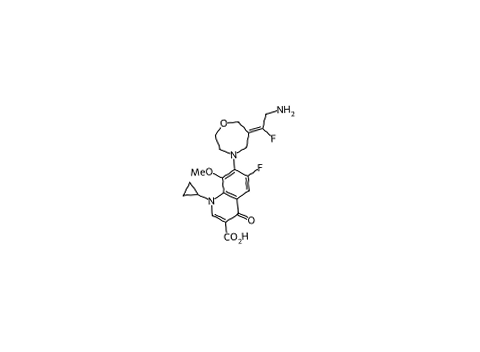 COc1c(N2CCOC/C(=C(/F)CN)C2)c(F)cc2c(=O)c(C(=O)O)cn(C3CC3)c12